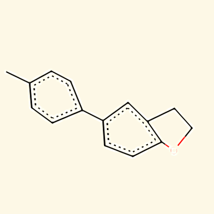 Cc1ccc(-c2ccc3c(c2)CCO3)cc1